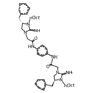 CCCCCCCCN1C(=N)N(CC(=O)Nc2ccc(NC(=O)CN3C[C@H](Cc4ccccc4)N(CCCCCCCC)C3=N)cc2)C[C@@H]1Cc1ccccc1